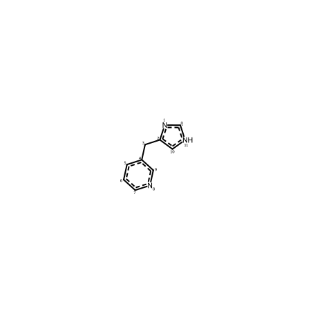 [c]1nc(Cc2cccnc2)c[nH]1